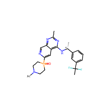 CC(=O)N1CCP(=O)(c2cc3c(N[C@H](C)c4cccc(C(C)(F)F)c4)nc(C)nc3cn2)CC1